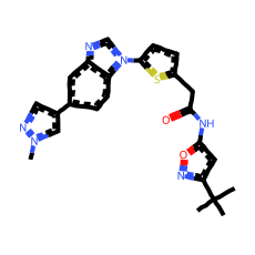 Cn1cc(-c2ccc3c(c2)ncn3-c2ccc(CC(=O)Nc3cc(C(C)(C)C)no3)s2)cn1